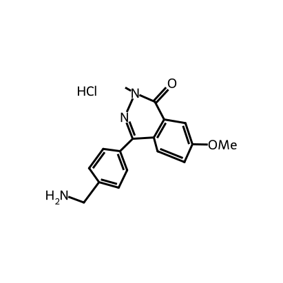 COc1ccc2c(-c3ccc(CN)cc3)nn(C)c(=O)c2c1.Cl